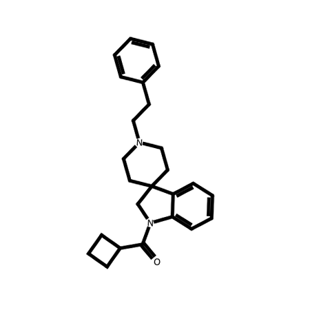 O=C(C1CCC1)N1CC2(CCN(CCc3ccccc3)CC2)c2ccccc21